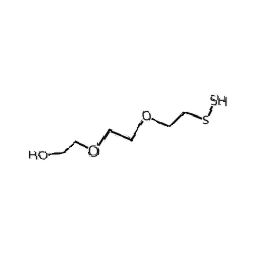 OCCOCCOCCSS